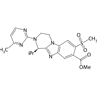 COC(=O)c1cc2nc3n(c2cc1S(C)(=O)=O)CCN(c1nccc(C)n1)[C@@H]3C(C)C